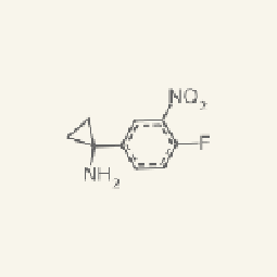 NC1(c2ccc(F)c([N+](=O)[O-])c2)CC1